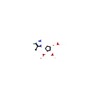 C#Cc1c(Cl)nc(N)nc1N[C@@H]1C[C@H](COC(=O)OC(C)(C)C)[C@@H](OC(=O)OC(C)(C)C)[C@H]1OC(=O)OC(C)(C)C